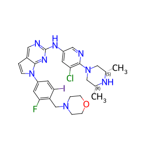 C[C@@H]1CN(c2ncc(Nc3ncc4ccn(-c5cc(F)c(CN6CCOCC6)c(I)c5)c4n3)cc2Cl)C[C@H](C)N1